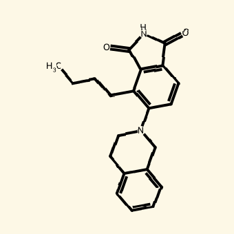 CCCCc1c(N2CCc3ccccc3C2)ccc2c1C(=O)NC2=O